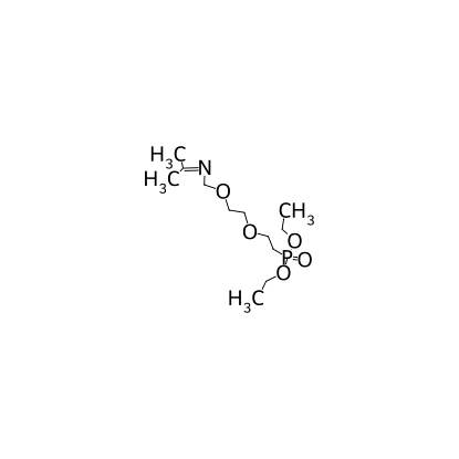 CCOP(=O)(CCOCCOCN=C(C)C)OCC